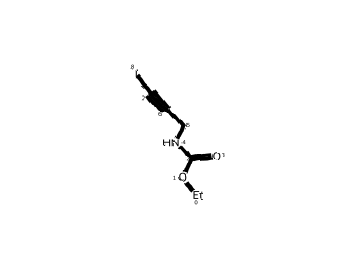 CCOC(=O)NCC#CI